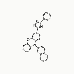 c1ccc(-c2nc(-c3ccc4c(c3)Oc3ccccc3N4c3ccc4ccccc4c3)ns2)cc1